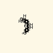 COc1ccc(NC(=O)Nc2ccc3[nH]c(=O)[nH]c3c2)cc1